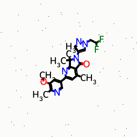 COc1cc(-c2cc(C)c3c(n2)C(C)(C)N(c2cnn(CC(F)F)c2)C3=O)cnc1C